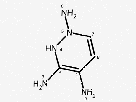 NC1=C(N)NN(N)C=C1